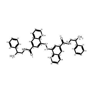 CC(CNC(=O)c1cc(SSc2cc(C(=O)NCC(C)c3ccccc3)cc3cccnc23)c2ncccc2c1)c1ccccc1